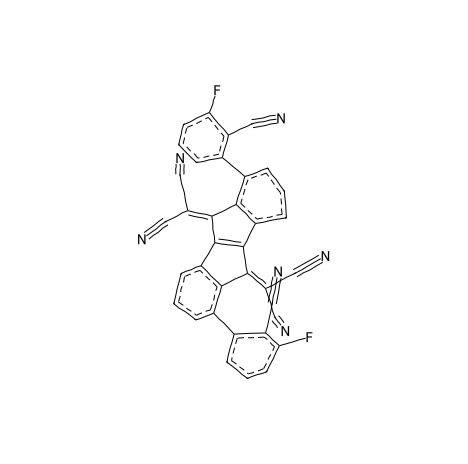 N#CC(C#N)=C1C2=C(C(=C(C#N)C#N)c3c2cccc3-c2cccc(F)c2C#N)c2cccc(-c3cccc(F)c3C#N)c21